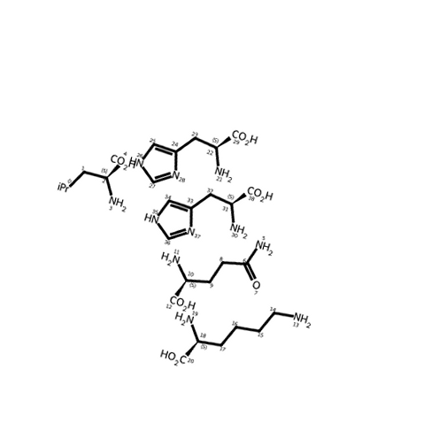 CC(C)C[C@H](N)C(=O)O.NC(=O)CC[C@H](N)C(=O)O.NCCCC[C@H](N)C(=O)O.N[C@@H](Cc1c[nH]cn1)C(=O)O.N[C@@H](Cc1c[nH]cn1)C(=O)O